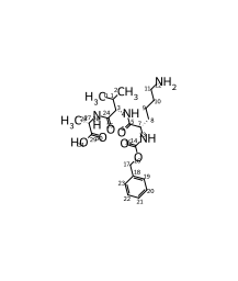 CC(C)[C@H](NC(=O)[C@H](CCCCN)NC(=O)OCc1ccccc1)C(=O)N[C@@H](C)C(=O)O